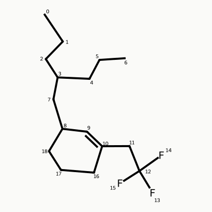 CCCC(CCC)CC1C=C(CC(F)(F)F)CCC1